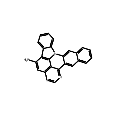 Pc1cc2ncnc3c4cc5ccccc5cc4n4c5ccccc5c1c4c23